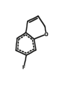 Fc1ccc2c(c1)OCC=C2